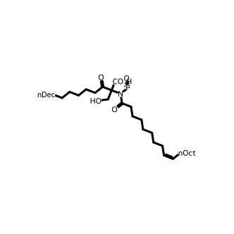 CCCCCCCC/C=C\CCCCCCCC(=O)N(P=O)C(CO)(C(=O)O)C(=O)CCCCCCCCCCCCCCC